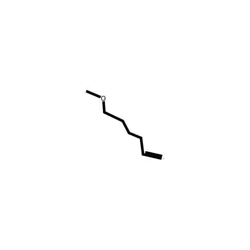 [CH]=CCCCCOC